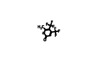 CC1=C(C(F)(F)F)C(C(F)(F)F)=[C]C(=O)[N]1